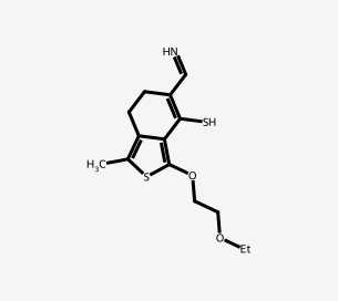 CCOCCOc1sc(C)c2c1C(S)=C(C=N)CC2